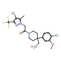 COc1cc(C2(CN)CCN(C(=O)Cn3nc(C(F)(F)F)c(Cl)c3C)CC2)ccc1Cl